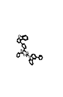 C1=CC(c2nc(-c3ccccc3)nc(-n3c4ccccc4c4cc(-c5ccccc5)ccc43)n2)CC(c2cccc3oc4ccccc4c23)=C1